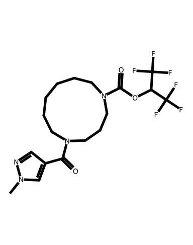 Cn1cc(C(=O)N2CCCCCCN(C(=O)OC(C(F)(F)F)C(F)(F)F)CCC2)cn1